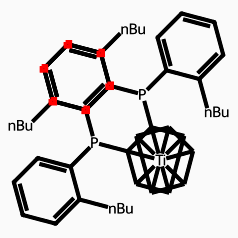 CCCCc1ccccc1P(c1ccccc1CCCC)[C]12[CH]3[CH]4[CH]5[C]1(P(c1ccccc1CCCC)c1ccccc1CCCC)[Ti]43521678[CH]2[CH]1[CH]6[CH]7[CH]28